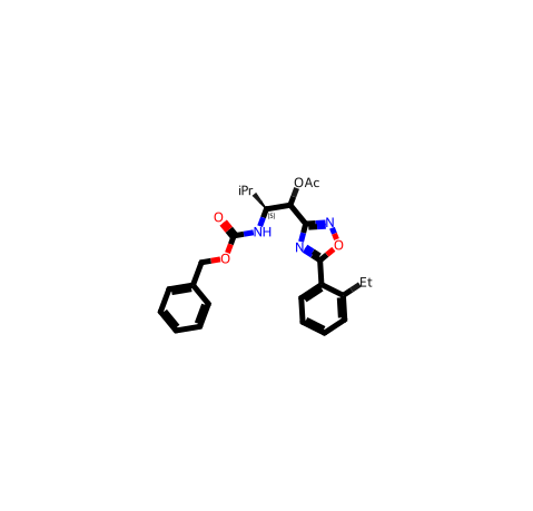 CCc1ccccc1-c1nc(C(OC(C)=O)[C@@H](NC(=O)OCc2ccccc2)C(C)C)no1